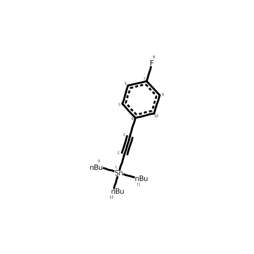 CCC[CH2][Sn]([C]#Cc1ccc(F)cc1)([CH2]CCC)[CH2]CCC